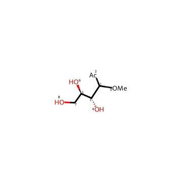 COC(C(C)=O)[C@H](O)[C@H](O)CO